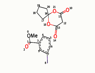 COC(=O)c1cccc(I)c1.O=C1CC(=O)OC2(CCCC2)O1